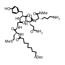 CCCCCCCCCCCCCCCCCC(=O)N[C@@H](CCSC)C(=O)NCC(=O)N[C@@H](Cc1ccc(O)cc1)C(=O)N[C@@H](CCC(N)=O)C(=O)N[C@@H](CCCCN)C(=O)NC